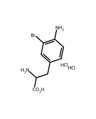 Cl.Cl.Nc1ccc(CC(N)C(=O)O)cc1Br